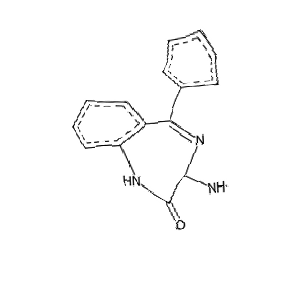 [NH]C1N=C(c2ccccc2)c2ccccc2NC1=O